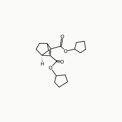 O=C(OC1CCCC1)C1=C(C(=O)OC2CCCC2)[C@H]2CCC1C2